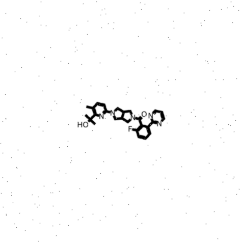 Cc1ccc(N2CC3CN(C(=O)c4c(F)cccc4-c4ncccn4)CC3C2)nc1C(C)(C)O